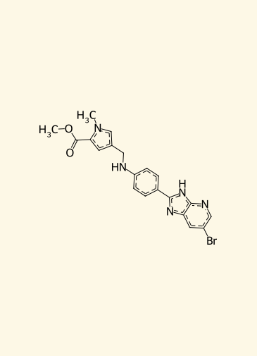 COC(=O)c1cc(CNc2ccc(-c3nc4cc(Br)cnc4[nH]3)cc2)cn1C